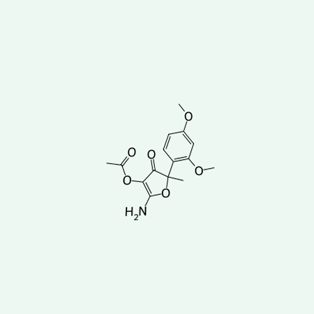 COc1ccc(C2(C)OC(N)=C(OC(C)=O)C2=O)c(OC)c1